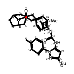 CNC(=N)NCC(=O)N1C2CCC1CC(Cc1ccc(NC(=O)Nc3cc(C(C)(C)C)nn3-c3ccc(C)cc3)cc1)C2